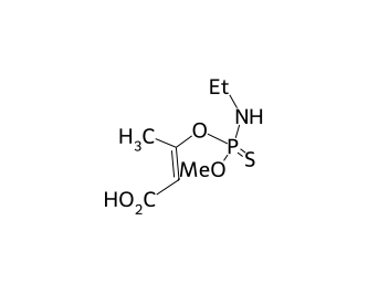 CCNP(=S)(OC)OC(C)=CC(=O)O